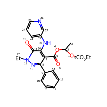 CCOC(=O)OC(C)OC(=O)c1c(-c2ccccc2)nn(CC)c(=O)c1Nc1cccnc1